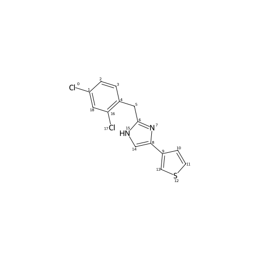 Clc1ccc(Cc2nc(-c3ccsc3)c[nH]2)c(Cl)c1